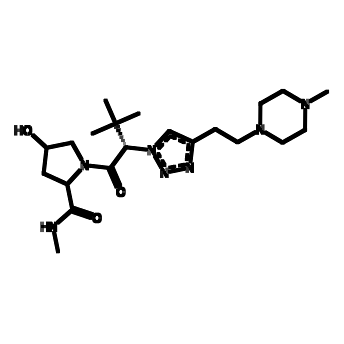 CNC(=O)C1CC(O)CN1C(=O)[C@@H](n1cc(CCN2CCN(C)CC2)nn1)C(C)(C)C